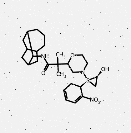 CC(C)(C(=O)NC1C2CCCC3CC1CC3C2)C1CN([S@@]2(C3CC=CC=C3[N+](=O)[O-])C[C@@H]2O)CCO1